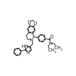 CCN(CC)C(=O)c1ccc(C2c3cc4c(cc3CCN2Cc2cnc(-c3ccccc3)[nH]2)OCO4)cc1